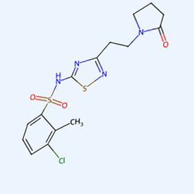 Cc1c(Cl)cccc1S(=O)(=O)Nc1nc(CCN2CCCC2=O)ns1